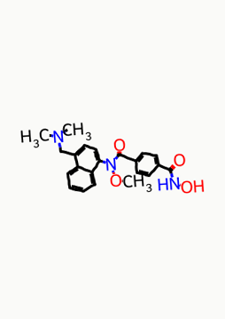 CON(C(=O)c1ccc(C(=O)NO)cc1)c1ccc(CN(C)C)c2ccccc12